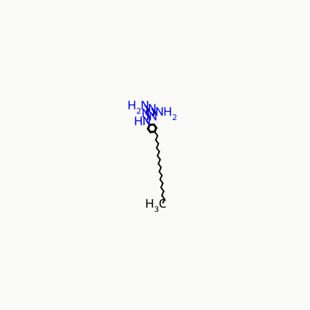 CCCCCCCCCCCCCCCCCCc1ccc(Nc2nc(N)nc(N)n2)cc1